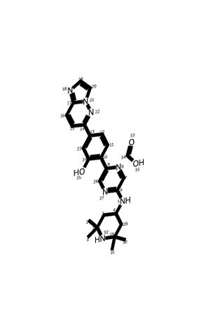 CC1(C)CC(Nc2cnc(-c3ccc(-c4ccc5nccn5n4)cc3O)cn2)CC(C)(C)N1.O=CO